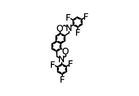 Fc1cc(F)c(N2COc3cc4ccc5c(c4cc3C2)OCN(c2c(F)cc(F)cc2F)C5)c(F)c1